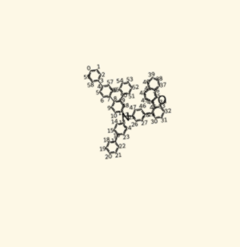 c1ccc(-c2ccc(-c3ccc(N(c4ccc(-c5ccccc5)cc4)c4ccc(-c5cccc6oc7c8ccccc8ccc7c56)cc4)cc3-c3ccccc3)cc2)cc1